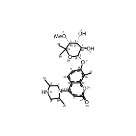 CO[C@@H]1[C@H](O)[C@@H](O)[C@H](Oc2ccc3c(N4CC(C)NCC4C)cc(=O)oc3c2C)OC1(C)C